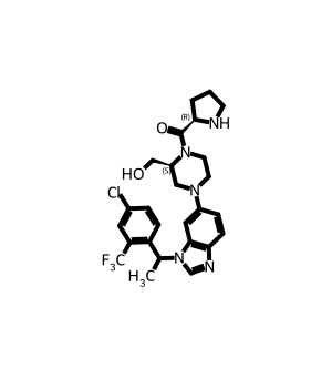 CC(c1ccc(Cl)cc1C(F)(F)F)n1cnc2ccc(N3CCN(C(=O)[C@H]4CCCN4)[C@H](CO)C3)cc21